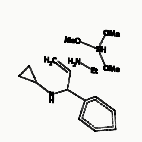 C=CC(NC1CC1)c1ccccc1.CCN.CO[SiH](OC)OC